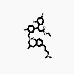 CCOC(=O)CC(c1ccc(C)c(CN2CC(C)Cc3cc(CCCN(C)C)ccc3S2)c1)c1ccc(F)cc1F